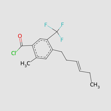 CCC=CCCc1cc(C)c(C(=O)Cl)cc1C(F)(F)F